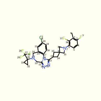 Cc1c(F)ccc(N2CC3(CC(c4nnc5n4-c4ccc(Cl)cc4CN(C4(C(F)(F)F)CC4)C5)C3)C2)c1F